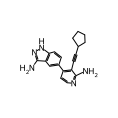 Nc1nccc(-c2ccc3[nH]nc(N)c3c2)c1C#CC1CCCC1